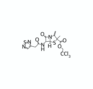 C=C1N2C(=O)C(NC(=O)Cc3cnsn3)[C@H]2SC1(C)C(=O)OCC(Cl)(Cl)Cl